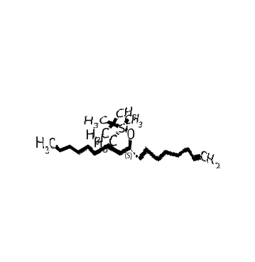 C=CCCCCCC[C@H](CCCCCCCC)O[Si](C)(C)C(C)(C)C